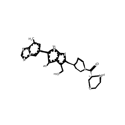 Cc1cc(-c2[nH]c3sc(C4CCN(C(=O)[C@H]5COCCN5)CC4)c(CO)c3c2C(C)C)cn2ncnc12